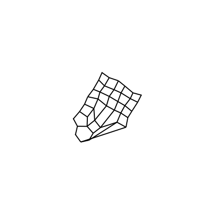 C1C2C3C4C5C6CC7C8C9C%10CC%11C%12C%13C%14C%15CC1C1%16C%15C%14%15C%13%14C%12%13C%10%11C9%10C89C76C56C45C34C2C1C41C%16%15C%142C%10%13C96C512